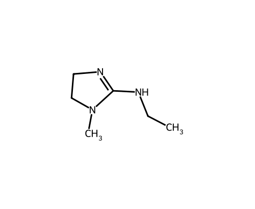 CCNC1=NCCN1C